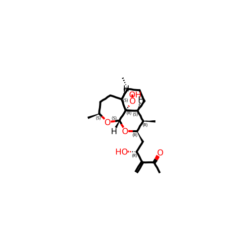 C=C(C(C)=O)[C@H](O)C[C@H]1O[C@@H]2O[C@@H](C)CC[C@H]3[C@H](C)CC[C@@H]([C@H]1C)[C@@]23OO